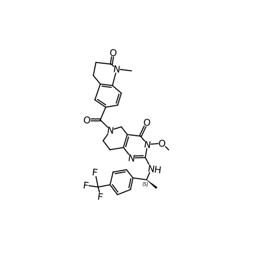 COn1c(N[C@@H](C)c2ccc(C(F)(F)F)cc2)nc2c(c1=O)CN(C(=O)c1ccc3c(c1)CCC(=O)N3C)CC2